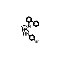 Brc1ccc(NCC2=NN=C[SH]2Cc2ccccc2-c2ccccc2)cc1